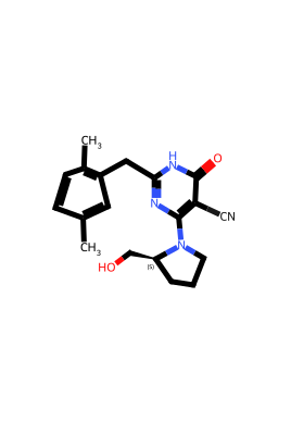 Cc1ccc(C)c(Cc2nc(N3CCC[C@H]3CO)c(C#N)c(=O)[nH]2)c1